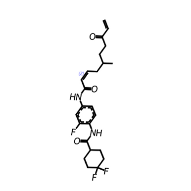 C=CC(=O)CCC(C)C/C=C\C(=O)Nc1ccc(NC(=O)C2CCC(F)(F)CC2)c(F)c1